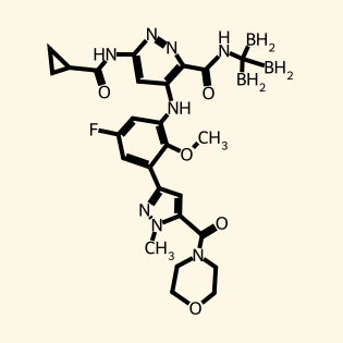 BC(B)(B)NC(=O)c1nnc(NC(=O)C2CC2)cc1Nc1cc(F)cc(-c2cc(C(=O)N3CCOCC3)n(C)n2)c1OC